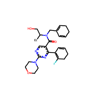 CCC(CO)N(CC1=CCCC=C1)C(=O)c1cnc(N2CCOCC2)nc1C1=C(F)CCC=C1